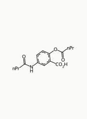 CCCC(=O)Nc1ccc(OC(=O)CCC)c(C(=O)O)c1